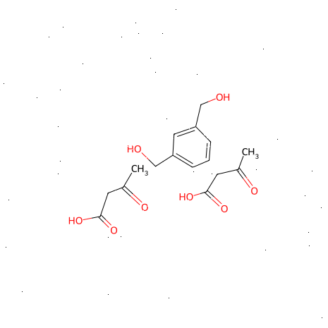 CC(=O)CC(=O)O.CC(=O)CC(=O)O.OCc1cccc(CO)c1